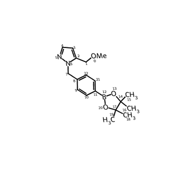 COCc1ccnn1Cc1ccc(B2OC(C)(C)C(C)(C)O2)cc1